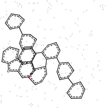 c1ccc(-c2ccc(-c3cccc(N(c4ccc(-c5ccccc5)cc4)c4cccc5oc6ccccc6c45)c3-c3ccccc3-c3ccccc3)cc2)cc1